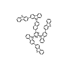 c1ccc2c(c1)sc1cc(-c3ccc4c5ccccc5n(-c5ccc6cc(-c7cc(-n8c9ccccc9c9ccc(-c%10ccc%11c(c%10)sc%10ccccc%10%11)cc98)nc(-n8c9ccccc9c9ccc(-c%10ccc%11c(c%10)sc%10ccccc%10%11)cc98)n7)ccc6c5)c4c3)ccc12